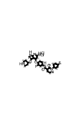 Cl.Cl.O=C(Nc1ccc(Oc2ccnc3[nH]nc(OC4CCNCC4)c23)c(F)c1)c1ccnn(-c2ccc(F)cc2)c1=O